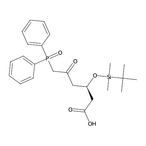 CC(C)(C)[Si](C)(C)O[C@@H](CC(=O)O)CC(=O)CP(=O)(c1ccccc1)c1ccccc1